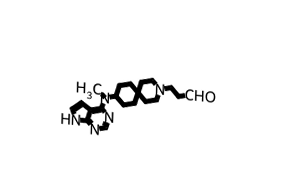 CN(c1ncnc2[nH]ccc12)C1CCC2(CC1)CCN(CCC=O)CC2